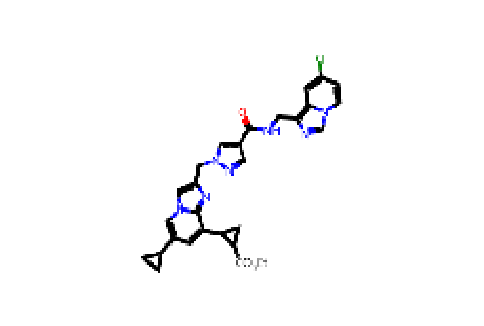 CCOC(=O)C1CC1c1cc(C2CC2)cn2cc(Cn3cc(C(=O)NCc4ncn5ccc(Cl)cc45)cn3)nc12